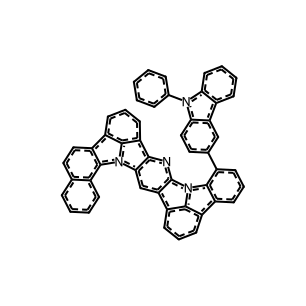 c1ccc(-n2c3ccccc3c3cc(-c4cccc5c6cccc7c8cc9c(nc8n(c45)c76)c4cccc5c6ccc7ccccc7c6n9c54)ccc32)cc1